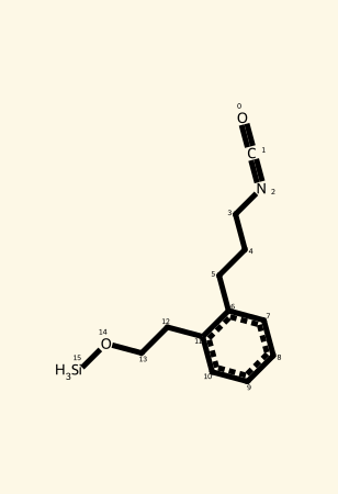 O=C=NCCCc1ccccc1CCO[SiH3]